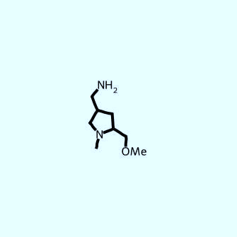 COCC1CC(CN)CN1C